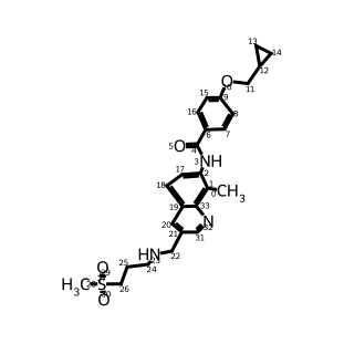 Cc1c(NC(=O)c2ccc(OCC3CC3)cc2)ccc2cc(CNCCCS(C)(=O)=O)cnc12